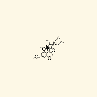 CCc1nn2c(-c3c(OC)cc(COC)cc3OC)c(C)oc2c1N(CC1CC1)CC1CC1